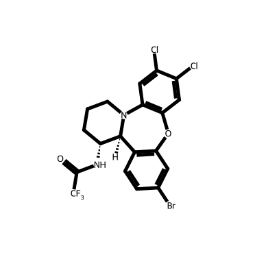 O=C(N[C@@H]1CCCN2c3cc(Cl)c(Cl)cc3Oc3cc(Br)ccc3[C@@H]12)C(F)(F)F